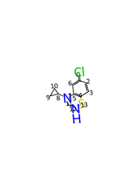 Clc1ccc2c(c1)N(C1CC1)CNS2